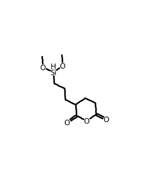 CO[SiH](CCCC1CCC(=O)OC1=O)OC